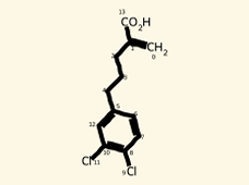 C=C(CCCc1ccc(Cl)c(Cl)c1)C(=O)O